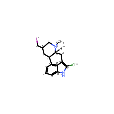 CN1CC(CI)CC2c3cccc4[nH]c(Cl)c(c34)C[C@H]21